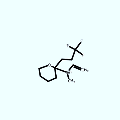 C=C[SiH](C)C1(CCC(F)(F)F)CCCCO1